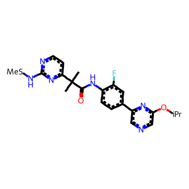 CSNc1nccc(C(C)(C)C(=O)Nc2ccc(-c3cncc(OC(C)C)n3)cc2F)n1